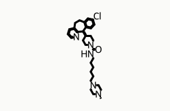 CN1CCN(CCCCCCNC(=O)N2CCC(=C3c4ccc(Cl)cc4CCc4cccnc43)CC2)CC1